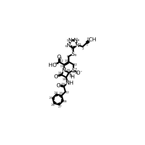 C#CCn1nnnc1SCC1=C(C(=O)O)N2C(=O)C(NC(=O)Cc3ccccc3)[C@@H]2[S+]([O-])C1